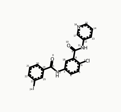 O=C(Nc1ccc(Cl)c(C(=O)Nc2cccnc2)c1)c1cccc(I)c1